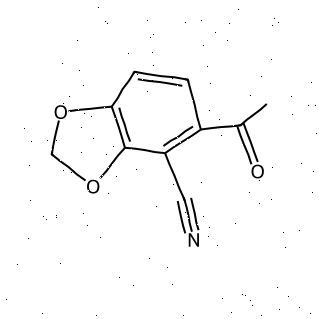 CC(=O)c1ccc2c(c1C#N)OCO2